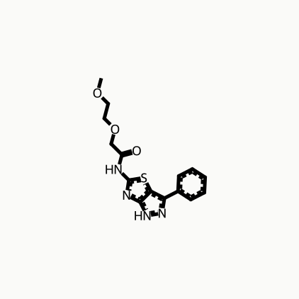 COCCOCC(=O)Nc1nc2[nH]nc(-c3ccccc3)c2s1